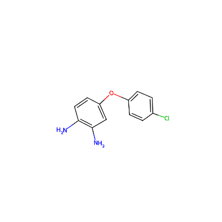 Nc1ccc(Oc2ccc(Cl)cc2)cc1N